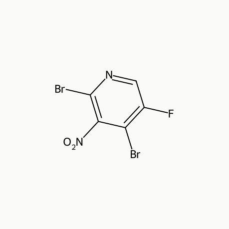 O=[N+]([O-])c1c(Br)ncc(F)c1Br